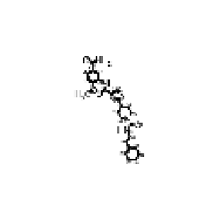 COc1ccc(C(N)=O)cc1NC(=O)c1csc(C2CCN(C(=O)NCCC3=CCCCC3)CC2)n1